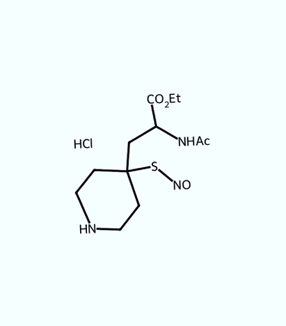 CCOC(=O)C(CC1(SN=O)CCNCC1)NC(C)=O.Cl